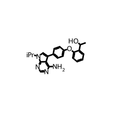 CC(O)c1ccccc1Oc1ccc(-c2cn(C(C)C)c3ncnc(N)c23)cc1